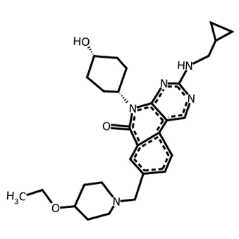 CCOC1CCN(Cc2ccc3c(c2)c(=O)n([C@H]2CC[C@@H](O)CC2)c2nc(NCC4CC4)ncc32)CC1